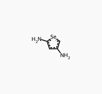 Nc1c[se]c(N)c1